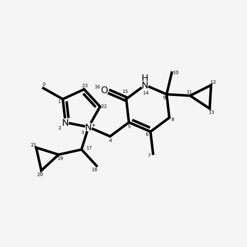 CC1=N[N+](CC2=C(C)CC(C)(C3CC3)NC2=O)(C(C)C2CC2)C=C1